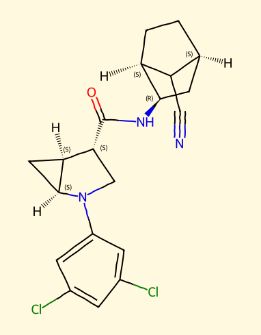 N#CC1[C@H]2CC[C@@H]1[C@H](NC(=O)[C@@H]1CN(c3cc(Cl)cc(Cl)c3)[C@H]3C[C@@H]13)C2